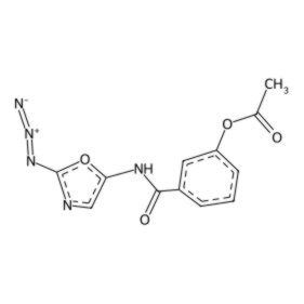 CC(=O)Oc1cccc(C(=O)Nc2cnc(N=[N+]=[N-])o2)c1